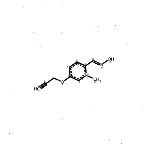 C#CCOc1ccc(C=NO)[n+](C)c1